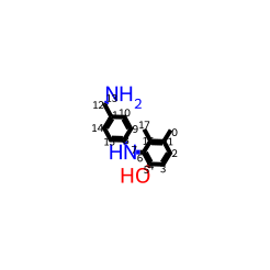 Cc1ccc(O)c(Nc2ccc(CN)cc2)c1C